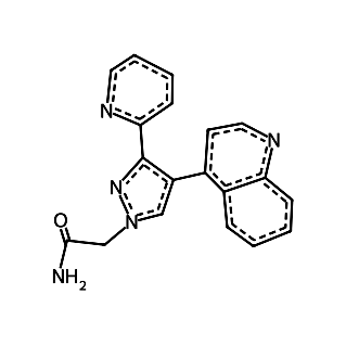 NC(=O)Cn1cc(-c2ccnc3ccccc23)c(-c2ccccn2)n1